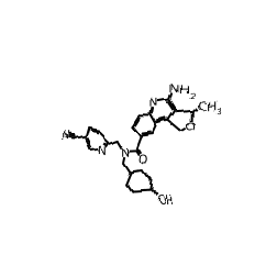 CC1OCc2c1c(N)nc1ccc(C(=O)N(Cc3ccc(C#N)cn3)CC3CCC(O)CC3)cc21